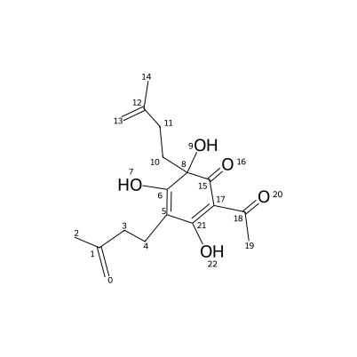 C=C(C)CCC1=C(O)C(O)(CCC(=C)C)C(=O)C(C(C)=O)=C1O